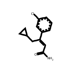 NC(=O)C=C(CC1CC1)c1cccc(Cl)c1